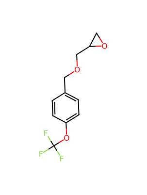 FC(F)(F)Oc1ccc(COCC2CO2)cc1